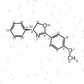 COc1ccc(C2=N[C@@H](c3ccccc3)CO2)cc1